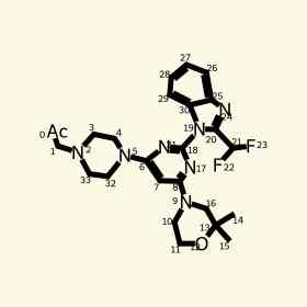 CC(=O)CN1CCN(c2cc(N3CCOC(C)(C)C3)nc(-n3c(C(F)F)nc4ccccc43)n2)CC1